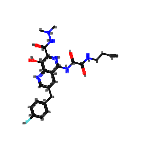 COCCNC(=O)C(=O)Nc1nc(C(=O)NN(C)C)c(O)c2ncc(Cc3ccc(F)cc3)cc12